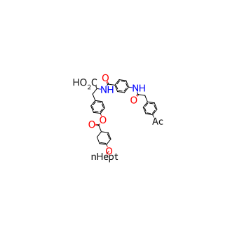 CCCCCCCOC1=CCC(C(=O)Oc2ccc(C[C@H](NC(=O)c3ccc(NC(=O)Cc4ccc(C(C)=O)cc4)cc3)C(=O)O)cc2)C=C1